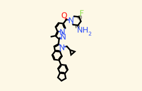 Cc1c(-c2cc3ccc(-c4ccc5c(c4)CCC5)cc3n2CC2CC2)nn2cc(C(=O)N3C[C@H](N)C[C@@H](F)C3)ccc12